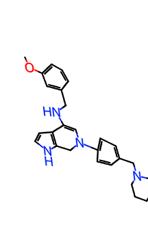 COc1cccc(CNC2=CN(c3ccc(CN4CCCCC4)cc3)Cc3[nH]ccc32)c1